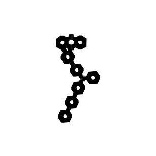 c1ccc(-c2ccc(-c3ccc(N(c4ccccc4)c4ccc(-c5ccc6c7cccc8c7n(c6c5)-c5ccccc5O8)cc4)cc3)cc2)cc1